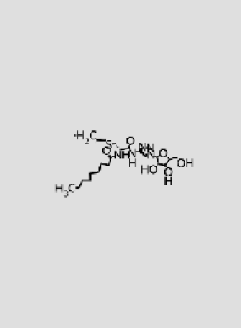 [CH2][CH]CSC[C@@H](NC(=O)CCCCCCCC)C(=O)Nc1cn([C@H]2OC(CO)[C@@H](O)[C@H]2O)nn1